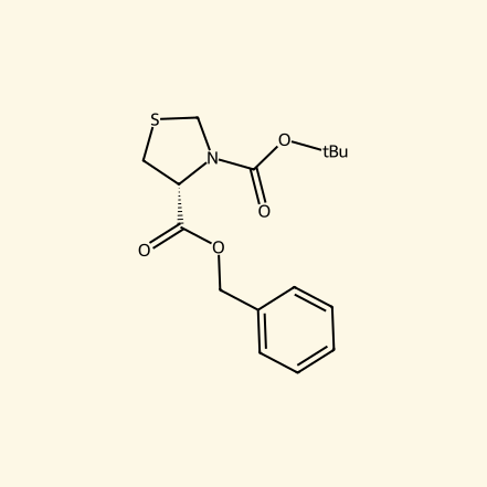 CC(C)(C)OC(=O)N1CSC[C@H]1C(=O)OCc1ccccc1